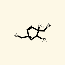 O=[N+]([O-])C1C=C(CO)C=CC1(CO)[N+](=O)[O-]